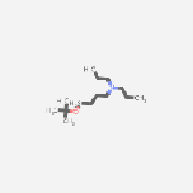 CCCN(CCC)CCC[SiH2]OC(C)(C)C